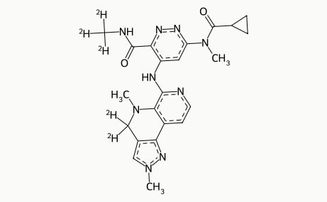 [2H]C([2H])([2H])NC(=O)c1nnc(N(C)C(=O)C2CC2)cc1Nc1nccc2c1N(C)C([2H])([2H])c1cn(C)nc1-2